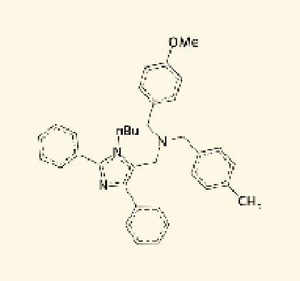 CCCCn1c(-c2ccccc2)nc(-c2ccccc2)c1CN(Cc1ccc(C)cc1)Cc1ccc(OC)cc1